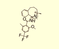 COc1cc(C(F)(F)F)cc(C)c1C(=O)N[C@]12CC[C@@](C)(CCCC3=CC=CCC31)N2C